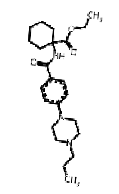 CCCN1CCN(c2ccc(C(=O)NC3(C(=O)OCC)CCCCC3)cc2)CC1